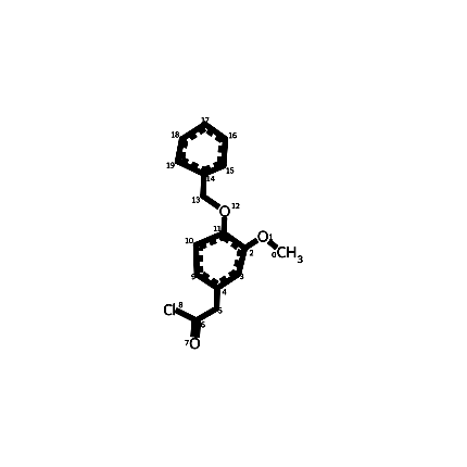 COc1cc(CC(=O)Cl)ccc1OCc1ccccc1